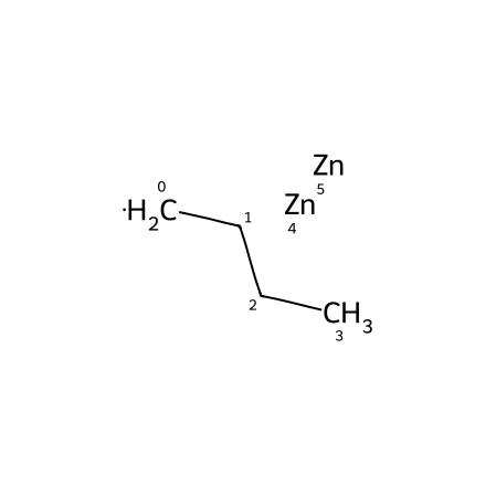 [CH2]CCC.[Zn].[Zn]